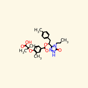 CCCn1c(C(Cc2ccc(C)cc2)OC(=O)c2ccc(OC(C)(C)C(=O)O)c(C)c2)n[nH]c1=O